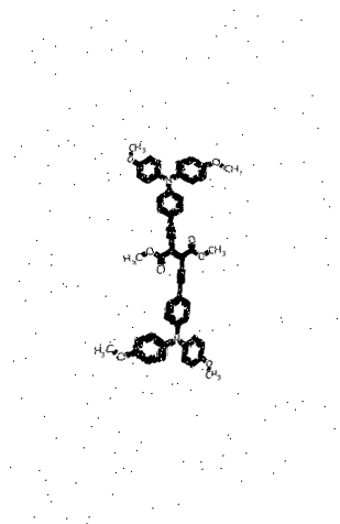 COC(=O)/C(C#Cc1ccc(N(c2ccc(OC)cc2)c2ccc(OC)cc2)cc1)=C(\C#Cc1ccc(N(c2ccc(OC)cc2)c2ccc(OC)cc2)cc1)C(=O)OC